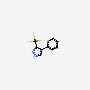 FC(F)(F)c1n[nH]cc1-c1ccccc1